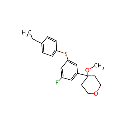 C[CH]c1ccc(Sc2cc(F)cc(C3(OC)CCOCC3)c2)cc1